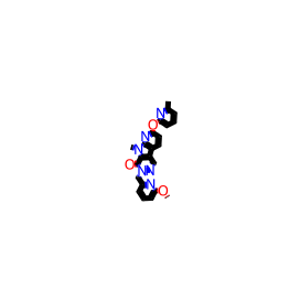 COc1cccc(Cn2ncc3c4ccc(Oc5cccc(C)n5)nc4n(C)c3c2=O)n1